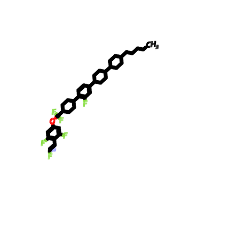 CCCCCC1CCC(C2CCC(c3ccc(C4CCC(C(F)(F)Oc5cc(F)c(/C=C/F)c(F)c5)CC4)c(F)c3)CC2)CC1